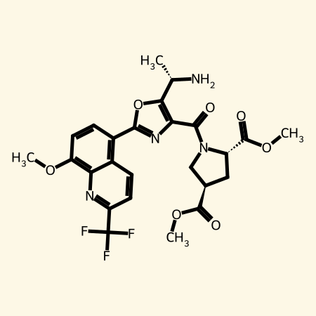 COC(=O)[C@@H]1C[C@@H](C(=O)OC)N(C(=O)c2nc(-c3ccc(OC)c4nc(C(F)(F)F)ccc34)oc2[C@H](C)N)C1